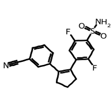 N#Cc1cccc(C2=C(c3cc(F)c(S(N)(=O)=O)cc3F)CCC2)c1